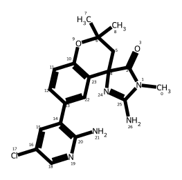 CN1C(=O)C2(CC(C)(C)Oc3ccc(-c4cc(Cl)cnc4N)cc32)N=C1N